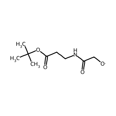 CC(C)(C)OC(=O)CCNC(=O)C[O]